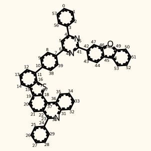 c1ccc(-c2cc(-c3ccc(-c4cccc5c4sc4c5ccc5c(-c6ccccc6)nc6ccccc6c54)cc3)nc(-c3ccc4c(c3)oc3ccccc34)n2)cc1